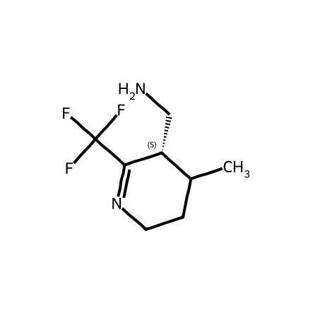 CC1CCN=C(C(F)(F)F)[C@@H]1CN